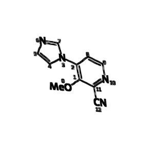 COc1c(-n2ccnc2)ccnc1C#N